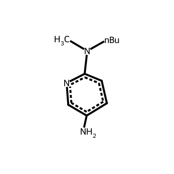 CCCCN(C)c1ccc(N)cn1